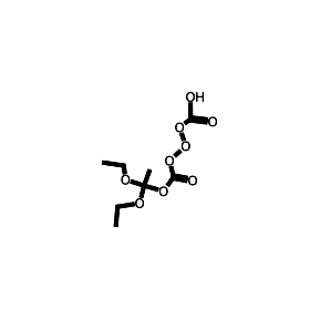 CCOC(C)(OCC)OC(=O)OOOC(=O)O